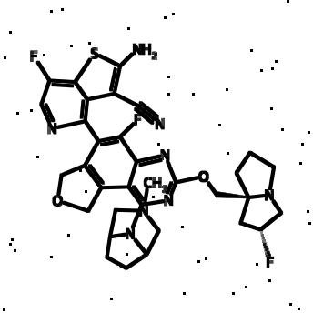 CN1CC2CCC(C1)N2c1nc(OC[C@@]23CCCN2C[C@H](F)C3)nc2c(F)c(-c3ncc(F)c4sc(N)c(C#N)c34)c3c(c12)COC3